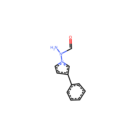 NN(C=O)n1ccc(-c2ccccc2)c1